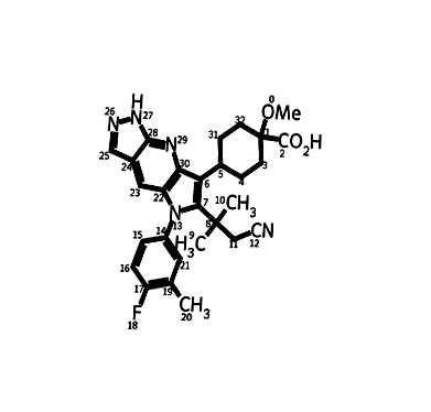 COC1(C(=O)O)CCC(c2c(C(C)(C)CC#N)n(-c3ccc(F)c(C)c3)c3cc4cn[nH]c4nc23)CC1